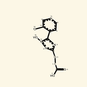 O=C(O)COc1nc(-c2ccncc2Cl)n(O)n1